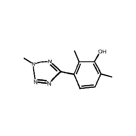 Cc1ccc(-c2nnn(C)n2)c(C)c1O